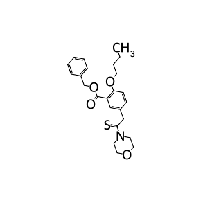 CCCCOc1ccc(CC(=S)N2CCOCC2)cc1C(=O)OCc1ccccc1